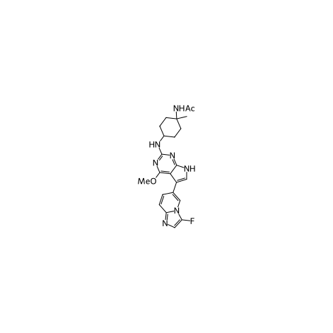 COc1nc(NC2CCC(C)(NC(C)=O)CC2)nc2[nH]cc(-c3ccc4ncc(F)n4c3)c12